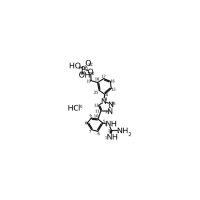 Cl.N=C(N)Nc1ccccc1-c1cn(-c2cccc(COP(=O)(O)O)c2)nn1